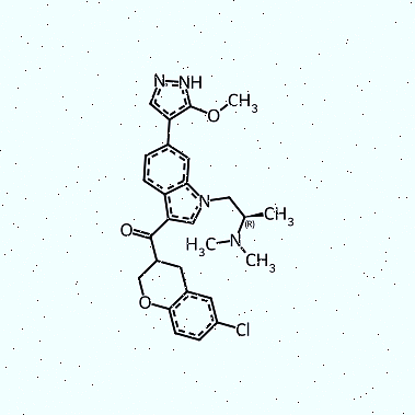 COc1[nH]ncc1-c1ccc2c(C(=O)C3COc4ccc(Cl)cc4C3)cn(C[C@@H](C)N(C)C)c2c1